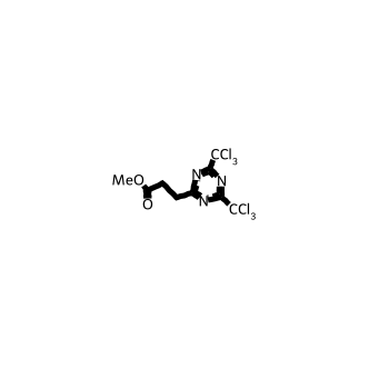 COC(=O)CCc1nc(C(Cl)(Cl)Cl)nc(C(Cl)(Cl)Cl)n1